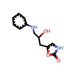 O=c1[nH]cc(CC(O)CNc2ccccc2)o1